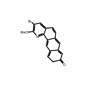 COc1nc2c(ccc3cc4c(cc32)=CCC(=O)C=4)cc1Br